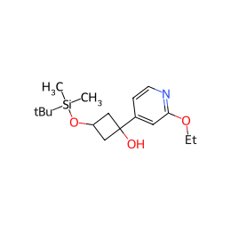 CCOc1cc(C2(O)CC(O[Si](C)(C)C(C)(C)C)C2)ccn1